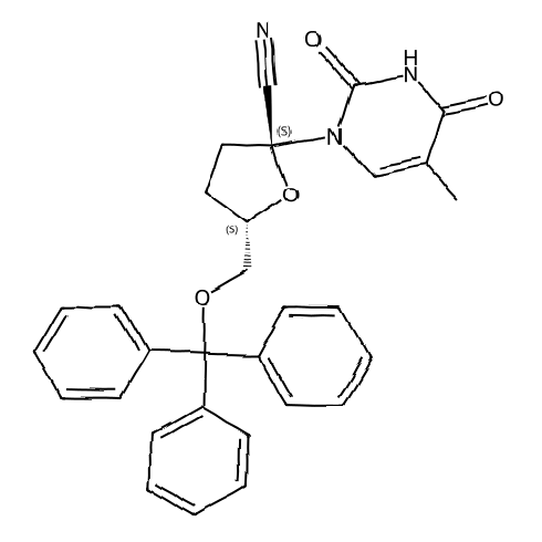 Cc1cn([C@@]2(C#N)CC[C@@H](COC(c3ccccc3)(c3ccccc3)c3ccccc3)O2)c(=O)[nH]c1=O